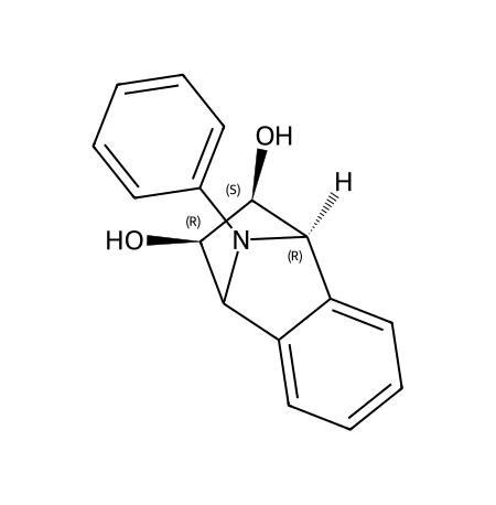 O[C@@H]1[C@H](O)C2c3ccccc3[C@H]1N2c1ccccc1